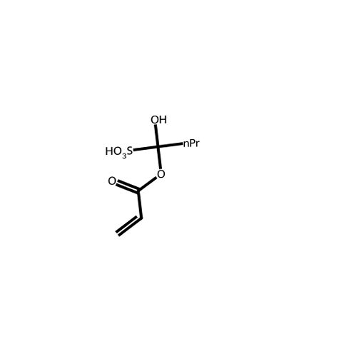 C=CC(=O)OC(O)(CCC)S(=O)(=O)O